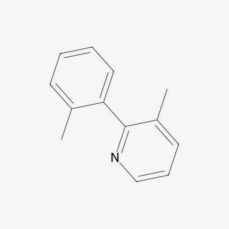 Cc1ccccc1-c1ncccc1C